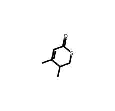 CC1=CC(=O)SCC1C